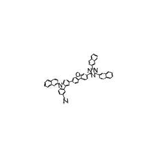 N#Cc1ccc2c(c1)c1cc(-c3ccc4c(c3)oc3cc(-c5nc(-c6ccc7ccccc7c6)nc(-c6ccc7ccccc7c6)n5)ccc34)ccc1n2-c1ccc2ccccc2c1